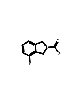 [O]C(=O)N1Cc2cccc(F)c2C1